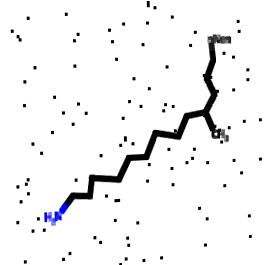 CCCCCCCCCCCCC(C)CCCCCCCCCN